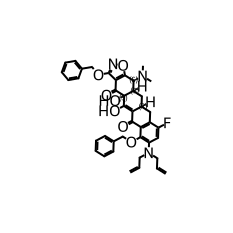 C=CCN(CC=C)c1cc(F)c2c(c1OCc1ccccc1)C(=O)C1=C(O)[C@]3(O)C(=O)c4c(OCc5ccccc5)noc4[C@@H](N(C)C)[C@@H]3C[C@@H]1C2